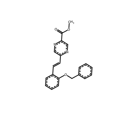 COC(=O)c1cnc(C=Cc2ccccc2OCc2ccccc2)cn1